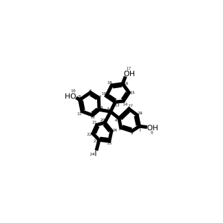 Oc1ccc(C(c2ccc(O)cc2)(c2ccc(O)cc2)c2ccc(I)cc2)cc1